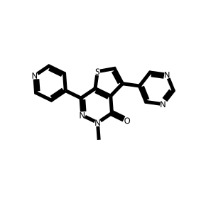 Cn1nc(-c2ccncc2)c2scc(-c3cncnc3)c2c1=O